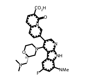 CNc1cc(F)cc2c1[nH]c1ncc(-c3ccc4ccc(C(=O)O)c(=O)n4c3)c(N3CCO[C@@H](CN(C)C)C3)c12